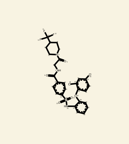 O=C(NCC(=O)N1CCC(C(F)(F)F)CC1)c1ccc(S(=O)(=O)Nc2ccccc2Oc2ccc(Cl)cc2Cl)cc1